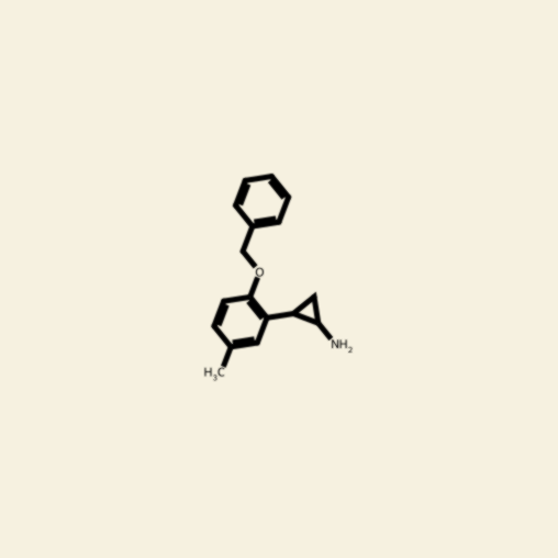 Cc1ccc(OCc2ccccc2)c(C2CC2N)c1